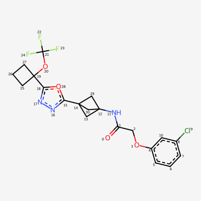 O=C(COc1cccc(Cl)c1)NC12CC(c3nnc(C4(OC(F)(F)F)CCC4)o3)(C1)C2